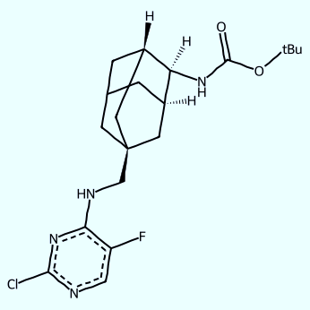 CC(C)(C)OC(=O)N[C@H]1[C@@H]2CC3C[C@H]1C[C@@](CNc1nc(Cl)ncc1F)(C3)C2